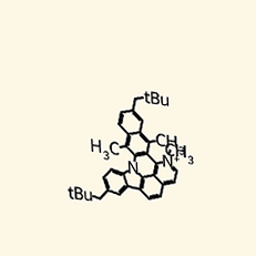 Cc1c2cc(CC(C)(C)C)ccc2c(C)c2c1c1c3c(ccc4c5cc(CC(C)(C)C)ccc5n2c43)cc[n+]1C